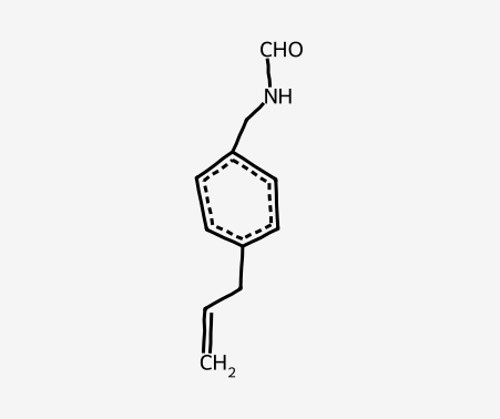 C=CCc1ccc(CNC=O)cc1